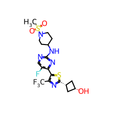 CS(=O)(=O)N1CCC(Nc2ncc(F)c(-c3sc([C@H]4C[C@@H](O)C4)nc3C(F)(F)F)n2)CC1